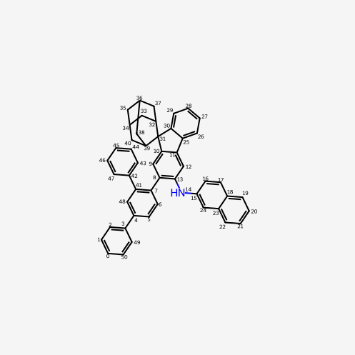 c1ccc(-c2ccc(-c3cc4c(cc3Nc3ccc5ccccc5c3)-c3ccccc3C43C4CC5CC(C4)CC3C5)c(-c3ccccc3)c2)cc1